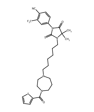 CC1(C)C(=O)N(c2ccc(C#N)c(C(F)(F)F)c2)C(=S)N1CCCCCCN1CCCN(C(=O)c2cccs2)CC1